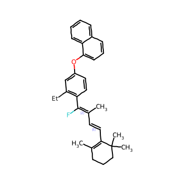 CCc1cc(Oc2cccc3ccccc23)ccc1/C(F)=C(C)/C=C/C1=C(C)CCCC1(C)C